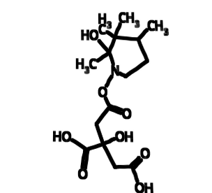 CC1CCN(OC(=O)CC(O)(CC(=O)O)C(=O)O)C(C)(O)C1(C)C